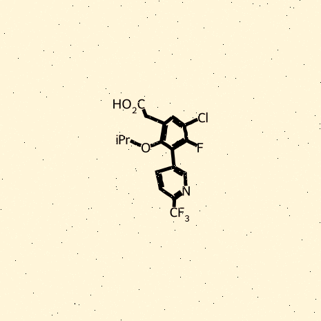 CC(C)Oc1c(CC(=O)O)cc(Cl)c(F)c1-c1ccc(C(F)(F)F)nc1